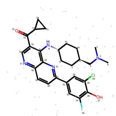 CN(C)C[C@H]1CC[C@H](Nc2c(C(=O)C3CC3)cnc3ccc(-c4cc(F)c(O)c(Cl)c4)nc23)CC1